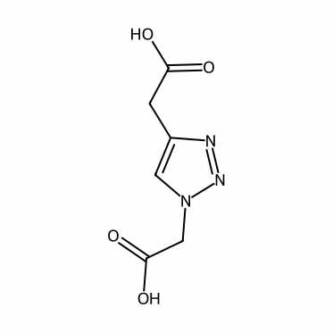 O=C(O)Cc1cn(CC(=O)O)nn1